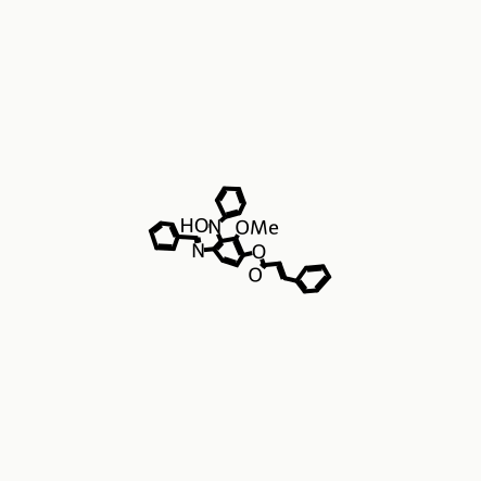 COc1c(OC(=O)C=Cc2ccccc2)ccc(N=Cc2ccccc2)c1N(O)c1ccccc1